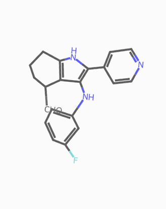 O=CC1CCCc2[nH]c(-c3ccncc3)c(Nc3cccc(F)c3)c21